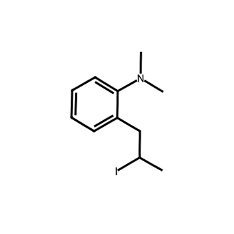 CC(I)Cc1ccccc1N(C)C